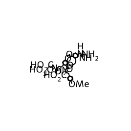 COc1ccc(C[C@H](NC(=O)c2c(CCC(=O)N(CC(=O)O)CC(=O)O)ccc3c2OCCCc2cc(NC(=N)N)ccc2C(=O)O3)C(=O)O)cc1